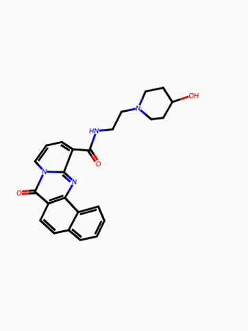 O=C(NCCN1CCC(O)CC1)c1cccn2c(=O)c3ccc4ccccc4c3nc12